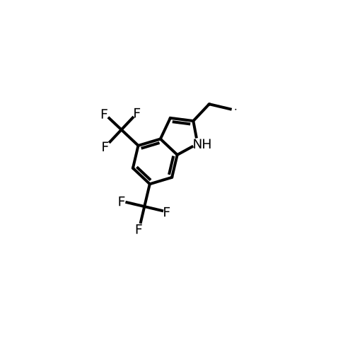 [CH2]Cc1cc2c(C(F)(F)F)cc(C(F)(F)F)cc2[nH]1